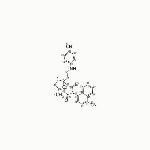 CC12CCC(CCNc3ccc(C#N)cc3)(O1)C1C(=O)N(c3ccc(C#N)c4ccccc34)C(=O)C12